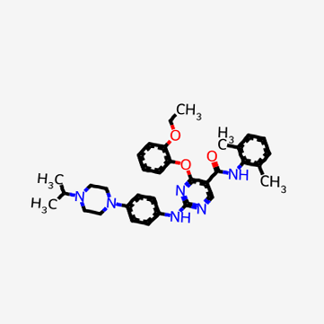 CCOc1ccccc1Oc1nc(Nc2ccc(N3CCN(C(C)C)CC3)cc2)ncc1C(=O)Nc1c(C)cccc1C